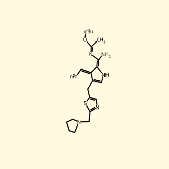 CCC\C=c1/c(Cc2cnc(CN3CCCC3)s2)c[nH]/c1=C(N)/N=C(\C)OCCCC